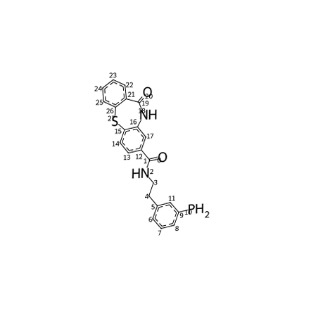 O=C(NCCc1cccc(P)c1)c1ccc2c(c1)NC(=O)c1ccccc1S2